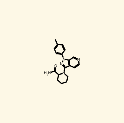 Cc1ccc(-n2nc(N3CCCCC3C(N)=O)c3ccncc32)cc1